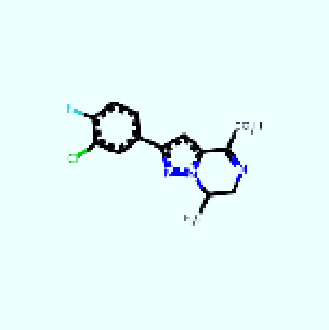 O=C(O)C1=NCC(C(F)(F)F)n2nc(-c3ccc(F)c(Cl)c3)cc21